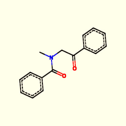 CN(CC(=O)c1ccccc1)C(=O)c1ccccc1